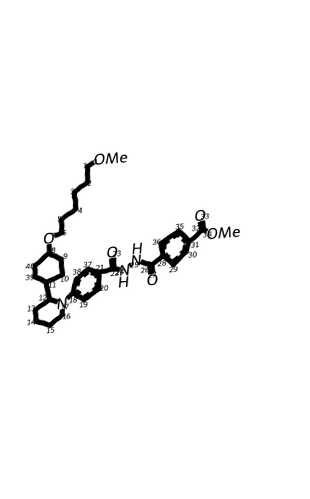 COCCCCCCOC1CCC(C2CCCCN2c2ccc(C(=O)NNC(=O)c3ccc(C(=O)OC)cc3)cc2)CC1